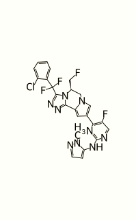 Cn1nccc1Nc1ncc(F)c(-c2cc3n(c2)C[C@H](CF)n2c-3nnc2C(F)(F)c2ccccc2Cl)n1